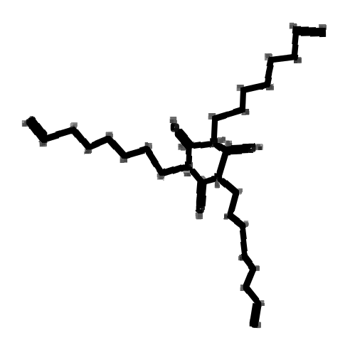 C=CCCCCCCn1c(=O)n(CCCCCCC=C)c(=O)n(CCCCCCC=C)c1=O